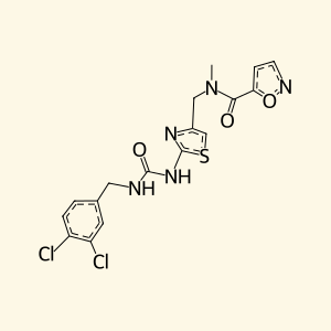 CN(Cc1csc(NC(=O)NCc2ccc(Cl)c(Cl)c2)n1)C(=O)c1ccno1